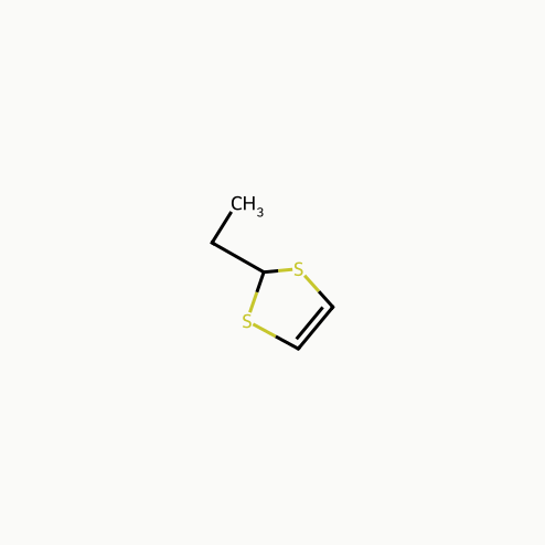 CCC1SC=CS1